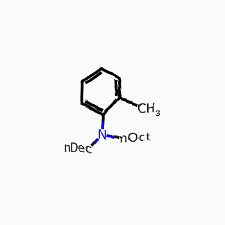 CCCCCCCCCCN(CCCCCCCC)c1ccccc1C